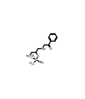 CC(C)(C)[Si](C)(C)OC(CO)CNCC(=O)c1ccccc1